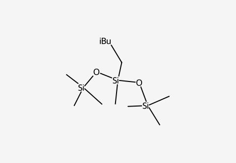 CCC(C)C[Si](C)(O[Si](C)(C)C)O[Si](C)(C)C